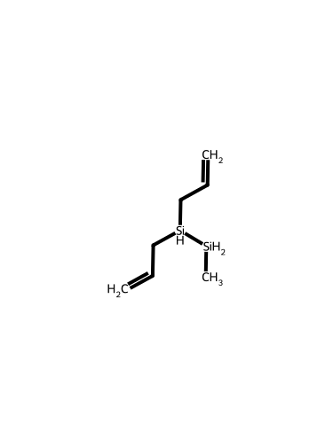 C=CC[SiH](CC=C)[SiH2]C